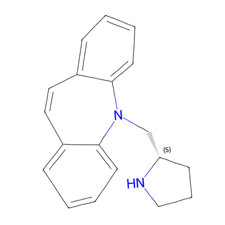 C1=Cc2ccccc2N(C[C@@H]2CCCN2)c2ccccc21